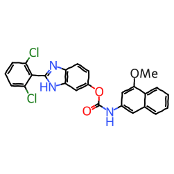 COc1cc(NC(=O)Oc2ccc3nc(-c4c(Cl)cccc4Cl)[nH]c3c2)cc2ccccc12